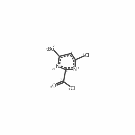 CC(C)(C)c1cc(Cl)nc(C(=O)Cl)n1